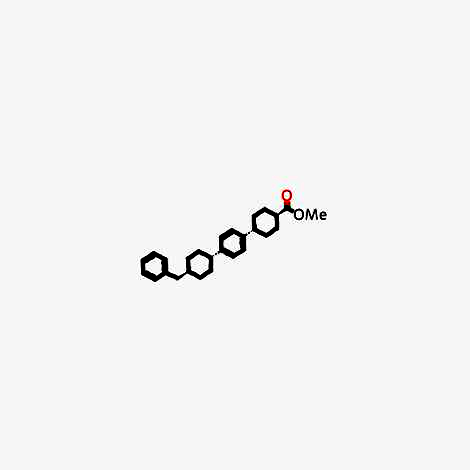 COC(=O)[C@H]1CC[C@H](c2ccc([C@H]3CC[C@H](Cc4ccccc4)CC3)cc2)CC1